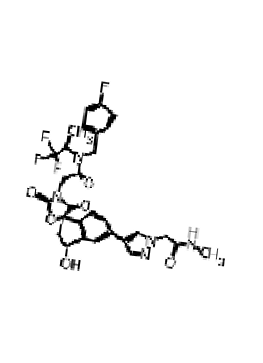 CNC(=O)Cn1cc(-c2ccc3c(c2)[C@@H](O)C[C@]32OC(=O)N(CC(=O)N(Cc3ccc(F)cc3)C(C)C(F)(F)F)C2=O)cn1